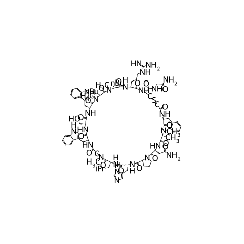 CCCC[C@H]1C(=O)N(C)[C@@H](CCCC)C(=O)NC(CCCNC(=N)N)C(=O)N[C@H](C(=O)NCC(N)=O)CSCC(=O)NC(Cc2ccccc2)C(=O)N(C)[C@@H](C)C(=O)N[C@@H](CC(N)=O)C(=O)N2CCCC2C(=O)N[C@@H](Cc2cnc[nH]2)C(=O)N[C@@H](CC(C)C)C(=O)N(C)CC(=O)N[C@@H](Cc2c[nH]c3ccccc23)C(=O)N[C@@H](CO)C(=O)N[C@@H](Cc2c[nH]c3ccccc23)C(=O)N1C